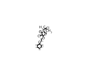 CC(C)(Cl)Cn1ncc(OCCOc2ccccc2)c(Cl)c1=O